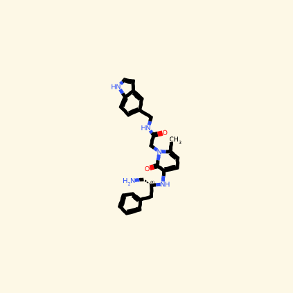 Cc1ccc(N[C@@H](CN)Cc2ccccc2)c(=O)n1CC(=O)NCc1ccc2[nH]ccc2c1